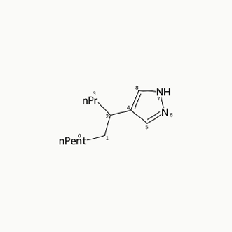 CCCCCCC(CCC)c1cn[nH]c1